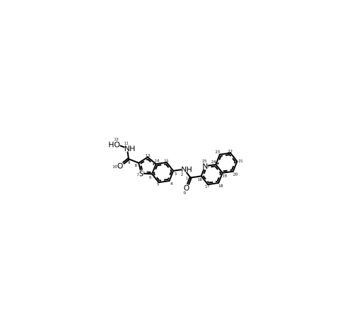 O=C(Nc1ccc2sc(C(=O)NO)cc2c1)c1ccc2ccccc2n1